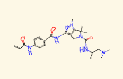 C=CC(=O)Nc1ccc(C(=O)Nc2nn(C)c3c2CN(C(=O)NC(C)CN(C)C)C3(C)C)cc1